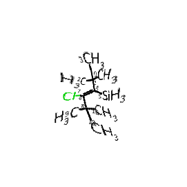 CC(C)(C)C([SiH3])=C(Cl)C(C)(C)C